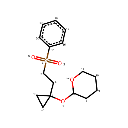 O=S(=O)(CCC1(OC2CCCCO2)CC1)c1ccccc1